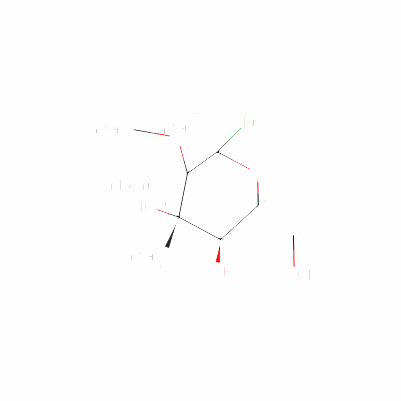 CCCCCO[C@@]1(CCCCC)[C@](Br)(CCCCC)O[C@H](CO)[C@@H](O)[C@@]1(O)CCCCC